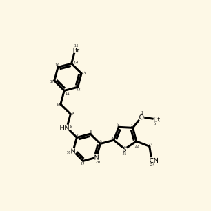 CCOc1cc(-c2cc(NCCc3ccc(Br)cc3)ncn2)sc1CC#N